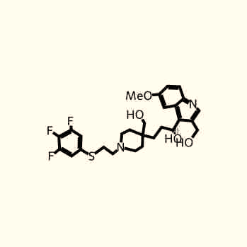 COc1ccc2ncc(CO)c([C@H](O)CCC3(CO)CCN(CCSc4cc(F)c(F)c(F)c4)CC3)c2c1